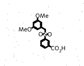 COc1cc(CS(=O)(=O)c2cccc(C(=O)O)c2)cc(OC)c1